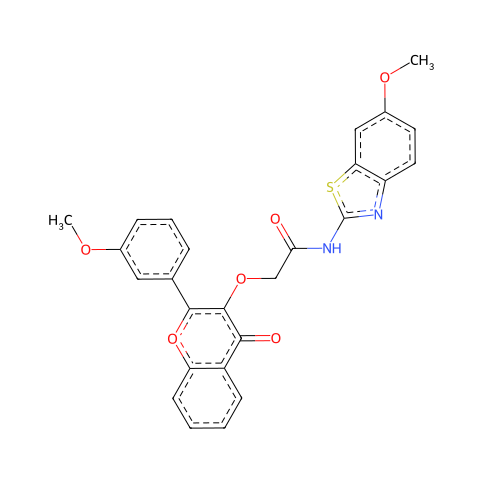 COc1cccc(-c2oc3ccccc3c(=O)c2OCC(=O)Nc2nc3ccc(OC)cc3s2)c1